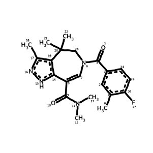 Cc1cc(C(=O)N2C=C(C(=O)N(C)C)c3[nH]nc(C)c3C(C)(C)C2)ccc1F